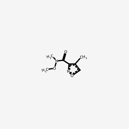 CON(C)C(=O)c1nocc1C